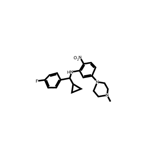 CN1CCN(c2ccc([N+](=O)[O-])c(NC(c3ccc(F)cc3)C3CC3)c2)CC1